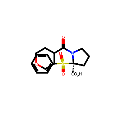 O=C(C1CCOCC1)N1CCC[C@@]1(C(=O)O)S(=O)(=O)c1ccccc1